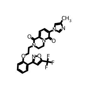 Cc1cn(-c2ccc3n(c2=O)CCN(CCOc2ccccc2-c2cc(C(F)(F)F)on2)C3=O)cn1